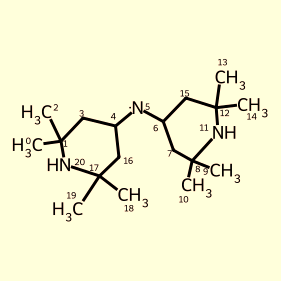 CC1(C)CC([N]C2CC(C)(C)NC(C)(C)C2)CC(C)(C)N1